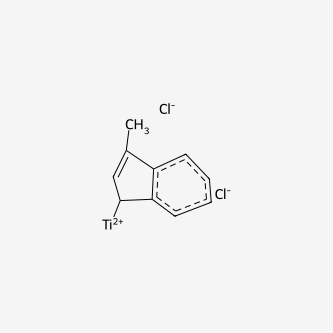 CC1=C[CH]([Ti+2])c2ccccc21.[Cl-].[Cl-]